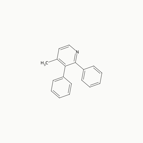 Cc1ccnc(-c2ccccc2)c1-c1ccccc1